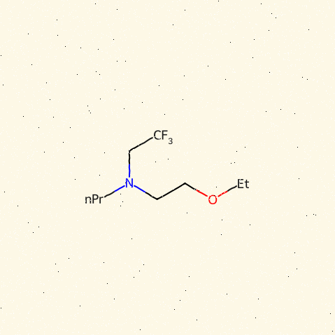 CCCN(CCOCC)CC(F)(F)F